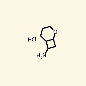 Cl.NC1CC2OCCCC12